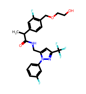 CC(C(=O)NCc1cc(C(F)(F)F)nn1-c1cccc(F)c1)c1ccc(COCCO)c(F)c1